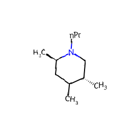 CCCN1C[C@H](C)C(C)C[C@H]1C